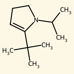 CC(C)N1CCC=C1C(C)(C)C